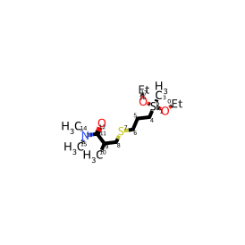 CCO[Si](C)(CCCSCC(C)C(=O)N(C)C)OCC